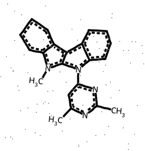 Cc1cc(-n2c3ccccc3c3c4ccccc4n(C)c32)nc(C)n1